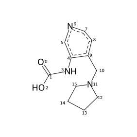 O=C(O)Nc1cnccc1CN1CCCC1